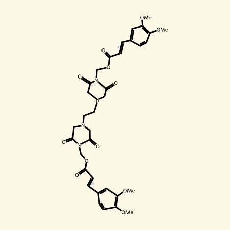 COc1ccc(/C=C/C(=O)OCN2C(=O)CN(CCN3CC(=O)N(COC(=O)/C=C/c4ccc(OC)c(OC)c4)C(=O)C3)CC2=O)cc1OC